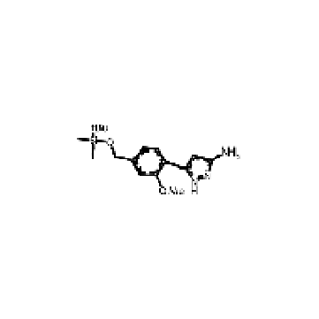 COc1cc(CO[Si](C)(C)C(C)(C)C)ccc1-c1cc(N)n[nH]1